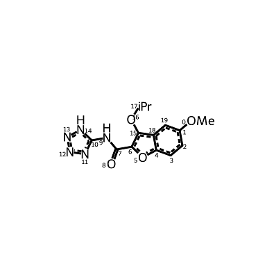 COc1ccc2oc(C(=O)Nc3nnn[nH]3)c(OC(C)C)c2c1